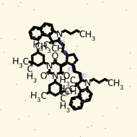 CCCCN1/C(=C/C=C2\CC/C(=C\C=C3\N(CCCC)c4ccc5ccccc5c4C3(C)C)C2=C2C(=O)N(C3CC(C)CC(C)(C)C3)C(=O)N(C3CC(C)CC(C)(C)C3)C2=O)C(C)(C)c2c1ccc1ccccc21